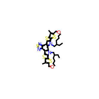 CCCCC(CC)Cn1c2c3sc(C=O)c(C)c3sc2c2c3nsnc3c3c4sc5c(C)c(C=O)sc5c4n(CC(CC)CCCC)c3c21